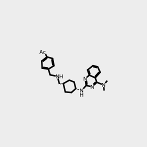 CC(=O)c1ccc(CNC[C@H]2CC[C@@H](Nc3nc(N(C)C)c4ccccc4n3)CC2)cc1